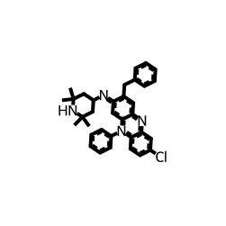 CC1(C)CC(N=c2cc3n(-c4ccccc4)c4ccc(Cl)cc4nc-3cc2Cc2ccccc2)CC(C)(C)N1